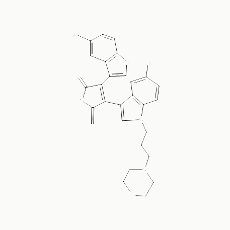 O=C1NC(=O)C(c2cn(CCCN3CCOCC3)c3ccc(Br)cc23)=C1c1c[nH]c2ccc(Br)cc12